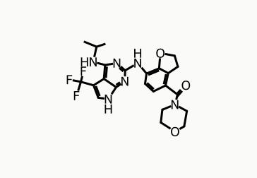 CC(C)Nc1nc(Nc2ccc(C(=O)N3CCOCC3)c3c2OCC3)nc2[nH]cc(C(F)(F)F)c12